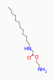 CCCCCCCCCCCCNCC(=O)OCCN